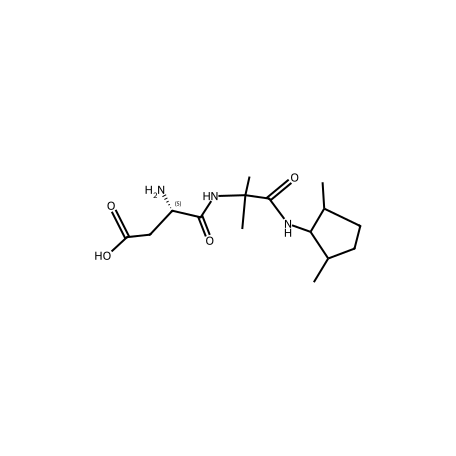 CC1CCC(C)C1NC(=O)C(C)(C)NC(=O)[C@@H](N)CC(=O)O